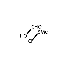 CSCl.O=CO